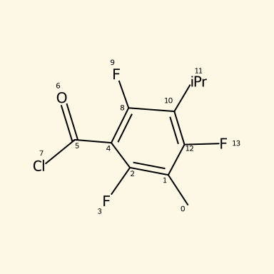 Cc1c(F)c(C(=O)Cl)c(F)c(C(C)C)c1F